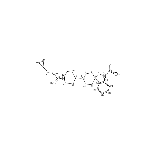 CC(=O)N1CC2(CCN(C3CCN(C(=O)OCC4CC4)CC3)CC2)c2ccccc21